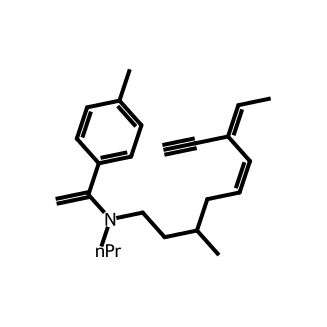 C#CC(/C=C\CC(C)CCN(CCC)C(=C)c1ccc(C)cc1)=C/C